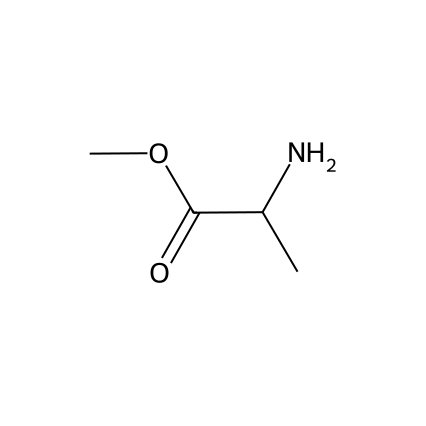 COC(=O)C(C)N